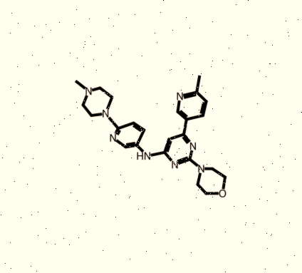 Cc1ccc(-c2cc(Nc3ccc(N4CCN(C)CC4)nc3)nc(N3CCOCC3)n2)cn1